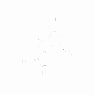 C=C(c1cnc2c(CC)ccc(N)c2c1)N(C)C